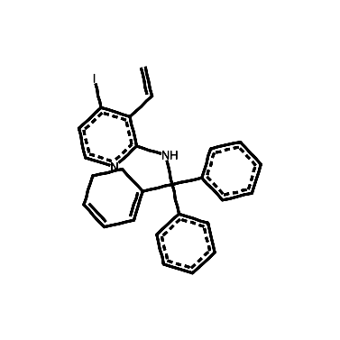 C=Cc1c(I)ccnc1NC(C1=CC=CCC1)(c1ccccc1)c1ccccc1